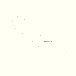 Fc1ccccc1Oc1ccc2c(-c3ccccc3Cl)n[nH]c2c1